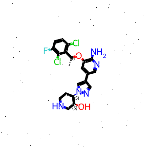 C[C@@H](Oc1cc(-c2cnn([C@H]3CCNC[C@@H]3O)c2)cnc1N)c1c(Cl)ccc(F)c1Cl